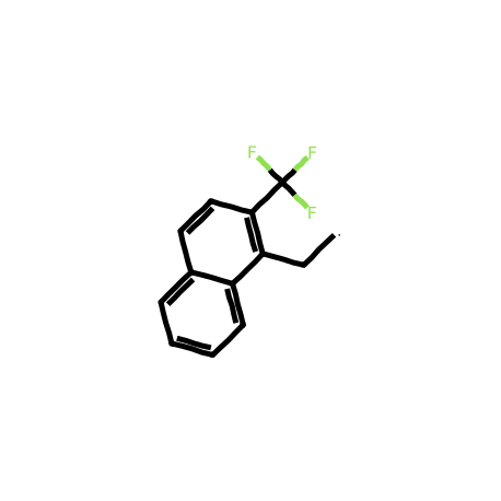 [CH2]Cc1c(C(F)(F)F)ccc2ccccc12